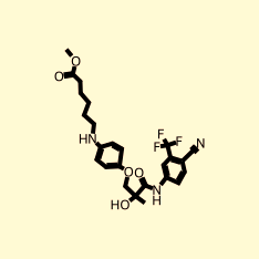 COC(=O)CCCCCNc1ccc(OCC(C)(O)C(=O)Nc2ccc(C#N)c(C(F)(F)F)c2)cc1